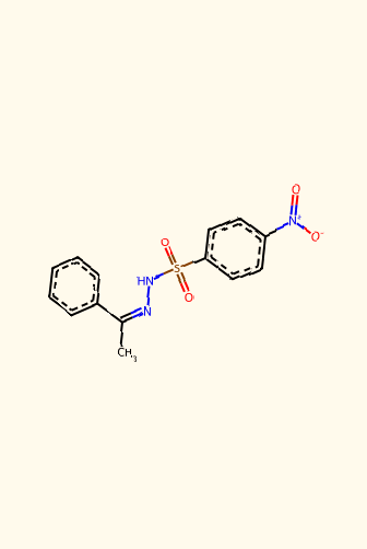 CC(=NNS(=O)(=O)c1ccc([N+](=O)[O-])cc1)c1ccccc1